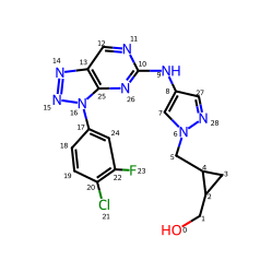 OCC1CC1Cn1cc(Nc2ncc3nnn(-c4ccc(Cl)c(F)c4)c3n2)cn1